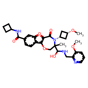 COc1cccnc1CNC(O)C1(C)COc2c(oc3cc(C(=O)NC4CCC4)ccc23)C(=O)N1[C@H]1C[C@@H](OC)C1